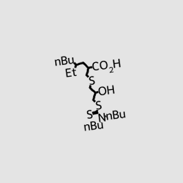 CCCCC(CC)CC(CSCC(O)CSC(=S)N(CCCC)CCCC)C(=O)O